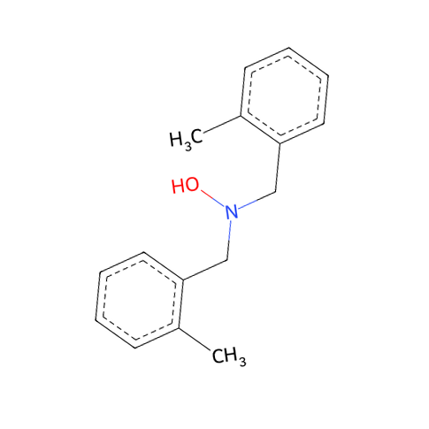 Cc1ccccc1CN(O)Cc1ccccc1C